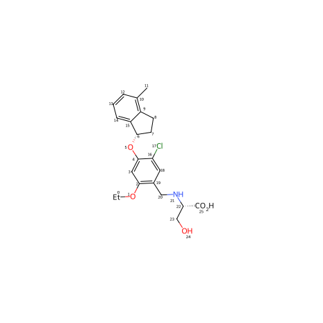 CCOc1cc(O[C@H]2CCc3c(C)cccc32)c(Cl)cc1CN[C@@H](CO)C(=O)O